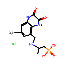 CC(CP(=O)(O)O)NCc1cc([N+](=O)[O-])cc2[nH]c(=O)c(=O)[nH]c12.Cl